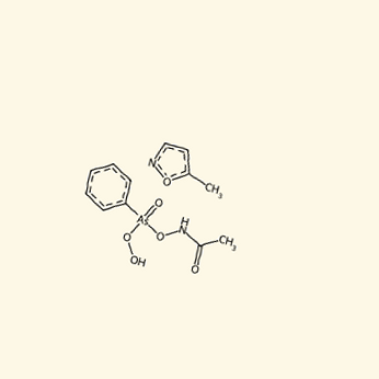 CC(=O)NO[As](=O)(OO)c1ccccc1.Cc1ccno1